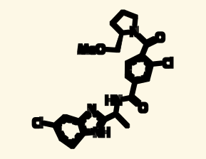 COC[C@H]1CCCN1C(=O)c1ccc(C(=O)NC(C)c2nc3cc(Cl)ccc3[nH]2)cc1Cl